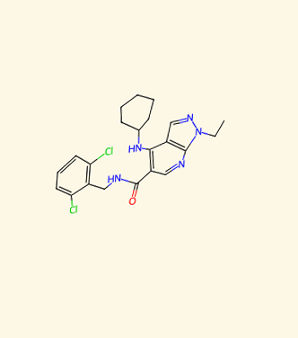 CCn1ncc2c(NC3CCCCC3)c(C(=O)NCc3c(Cl)cccc3Cl)cnc21